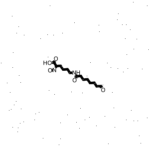 O=CCCCCCCC(=O)NCCCCC(N=O)C(=O)O